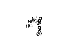 COC(=O)COc1ccc(CCN(Cc2ccccc2)S(=O)(=O)c2ccc(C(=N)N)cc2)cc1.Cl